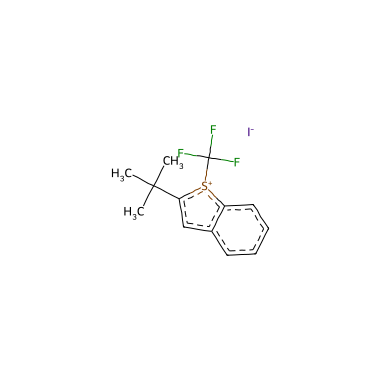 CC(C)(C)c1cc2ccccc2[s+]1C(F)(F)F.[I-]